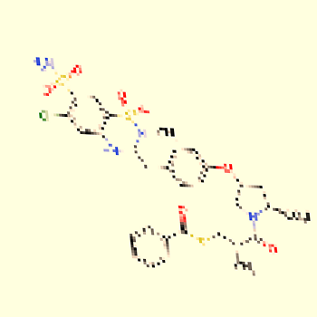 C[C@H](CSC(=O)c1ccccc1)C(=O)N1CC(Oc2ccc(CC3Nc4cc(Cl)c(S(N)(=O)=O)cc4S(=O)(=O)N3C)cc2)C[C@H]1C(=O)O